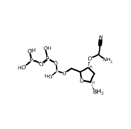 B[C@H]1C[C@@H](OC(N)C#N)C(COP(O)OP(O)OP(O)O)O1